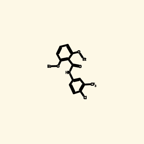 CCOc1cccc(OCC)c1C(=O)Nc1ccc(Cl)c(C(F)(F)F)c1